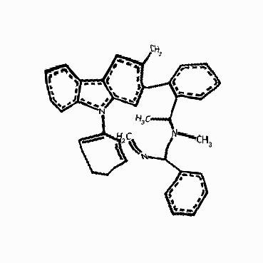 C=NC(c1ccccc1)N(C)C(C)c1ccccc1-c1cc2c(cc1C)c1ccccc1n2C1=CCCC=C1